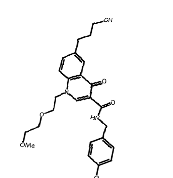 COCCOCCn1cc(C(=O)NCc2ccc(Cl)cc2)c(=O)c2cc(CCCO)ccc21